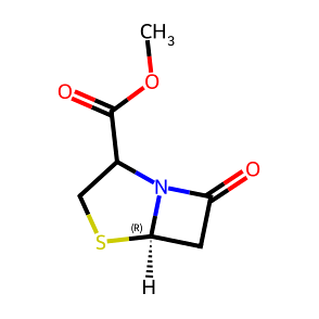 COC(=O)C1CS[C@@H]2CC(=O)N12